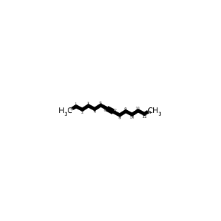 C[CH]CCCCC#CCCCCCC